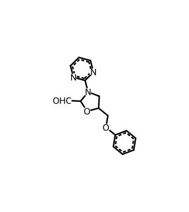 O=CC1OC(COc2ccccc2)CN1c1ncccn1